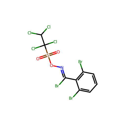 O=S(=O)(ON=C(Br)c1c(Br)cccc1Br)C(Cl)(Cl)C(Cl)Cl